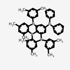 Cc1cc(C)cc(N2c3cc(C)cc(C)c3B3c4c(C)cc(C)cc4N(c4cc(C)cc(C)c4)c4cc(N(c5ccccc5)c5ccccc5)cc2c43)c1